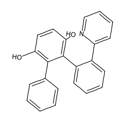 Oc1ccc(O)c(-c2ccccc2-c2ccccn2)c1-c1ccccc1